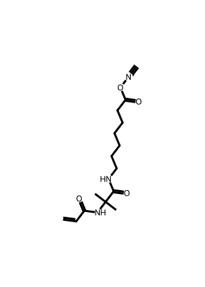 C#[N+]OC(=O)CCCCCCNC(=O)C(C)(C)NC(=O)C=C